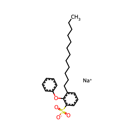 CCCCCCCCCCCCc1cccc(S(=O)(=O)[O-])c1Oc1ccccc1.[Na+]